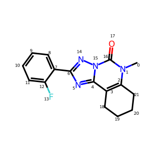 Cn1c2c(c3nc(-c4ccccc4F)nn3c1=O)CCCC2